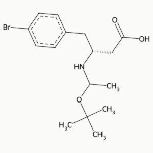 CC(N[C@@H](CC(=O)O)Cc1ccc(Br)cc1)OC(C)(C)C